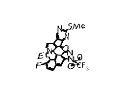 CCc1c(F)ccc2cc3c(cnn3S(=O)(=O)C(F)(F)F)c(-c3nccc4c3C(=O)c3nc(SC)ncc3-4)c12